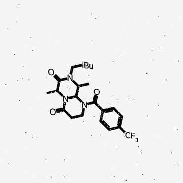 CCC(C)CN1C(=O)C(C)N2C(=O)CCN(C(=O)c3ccc(C(F)(F)F)cc3)C2C1C